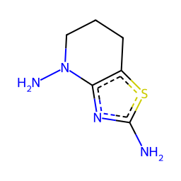 Nc1nc2c(s1)CCCN2N